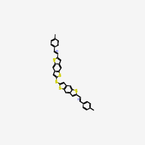 Cc1ccc(/C=C/c2cc3cc4sc(Sc5cc6cc7sc(/C=C/c8ccc(C)cc8)cc7cc6s5)cc4cc3s2)cc1